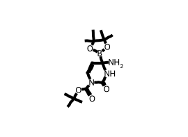 CC(C)(C)OC(=O)N1C=CC(N)(B2OC(C)(C)C(C)(C)O2)NC1=O